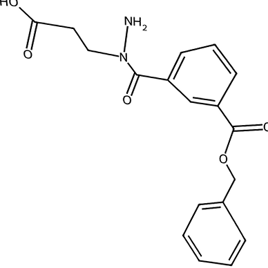 NN(CCC(=O)O)C(=O)c1cccc(C(=O)OCc2ccccc2)c1